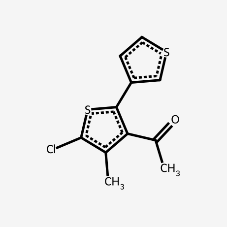 CC(=O)c1c(-c2ccsc2)sc(Cl)c1C